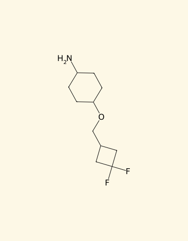 NC1CCC(OCC2CC(F)(F)C2)CC1